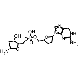 NC1=Nc2c(ncn2[C@H]2CC[C@@H](COP(=O)(O)OC[C@H]3O[C@@H](N)C[C@H]3O)O2)CN1